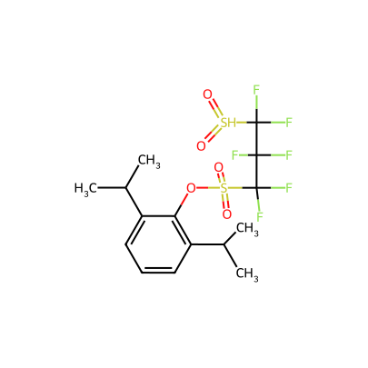 CC(C)c1cccc(C(C)C)c1OS(=O)(=O)C(F)(F)C(F)(F)C(F)(F)[SH](=O)=O